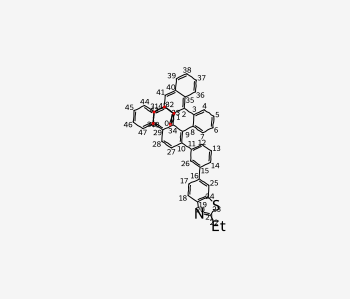 C=C1C(c2ccccc2-c2c(-c3cccc(-c4ccc5nc(CC)sc5c4)c3)ccc3ccccc23)=c2ccccc2=CC1c1ccccc1